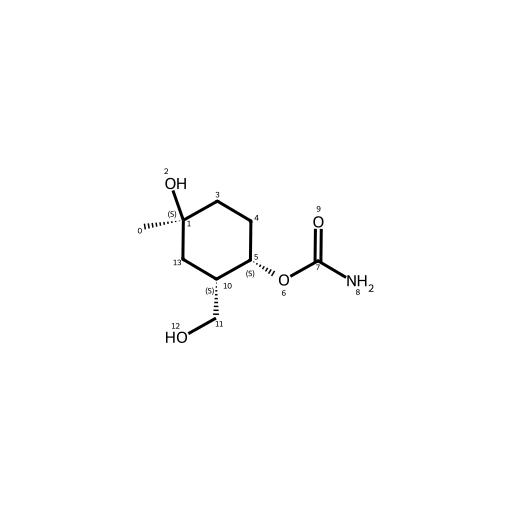 C[C@]1(O)CC[C@H](OC(N)=O)[C@H](CO)C1